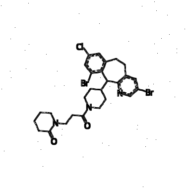 O=C1CCCCN1CCC(=O)N1CCC(C2c3ncc(Br)cc3CCc3cc(Cl)cc(Br)c32)CC1